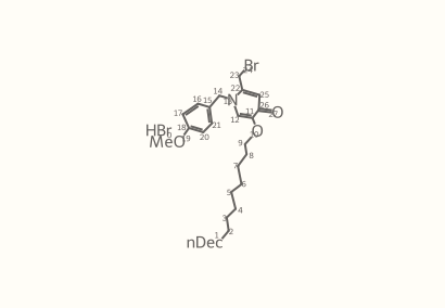 Br.CCCCCCCCCCCCCCCCCCOc1cn(Cc2ccc(OC)cc2)c(CBr)cc1=O